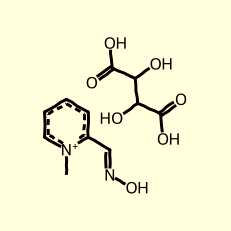 C[n+]1ccccc1C=NO.O=C(O)C(O)C(O)C(=O)O